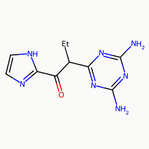 CCC(C(=O)c1ncc[nH]1)c1nc(N)nc(N)n1